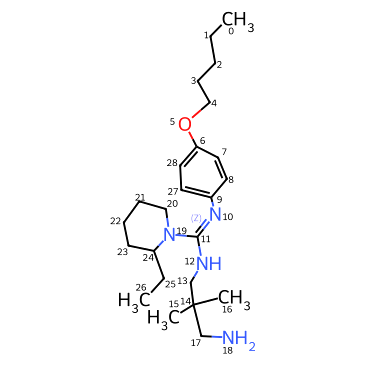 CCCCCOc1ccc(/N=C(/NCC(C)(C)CN)N2CCCCC2CC)cc1